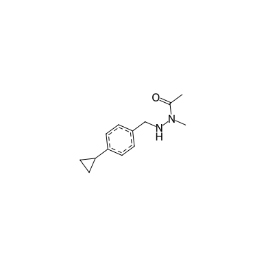 CC(=O)N(C)NCc1ccc(C2CC2)cc1